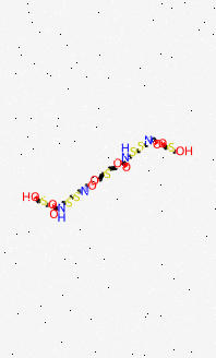 O=C(NCSCSC/N=C\OOCSCO)OCCSCCOO/C=N/CSCSCNC(=O)OCSCO